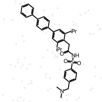 CC(C)c1cc(-c2ccc(-c3ccccc3)cc2)cc(C(C)C)c1CC(=O)NS(=O)(=O)c1ccc(CN(C)C)cc1